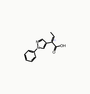 C/C=C(/C(=O)O)c1cnn(-c2ccccc2)c1